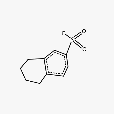 O=S(=O)(F)c1ccc2c(c1)CCCC2